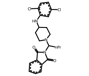 CCCC(N1CCC(Nc2cc(Cl)ccc2Cl)CC1)N1C(=O)c2ccccc2C1=O